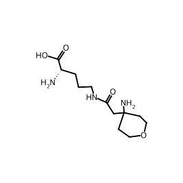 N[C@@H](CCCNC(=O)CC1(N)CCOCC1)C(=O)O